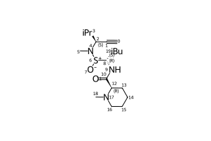 C#C[C@H](C(C)C)N(C)[S+]([O-])[C@@H](NC(=O)[C@H]1CCCCN1C)[C@@H](C)CC